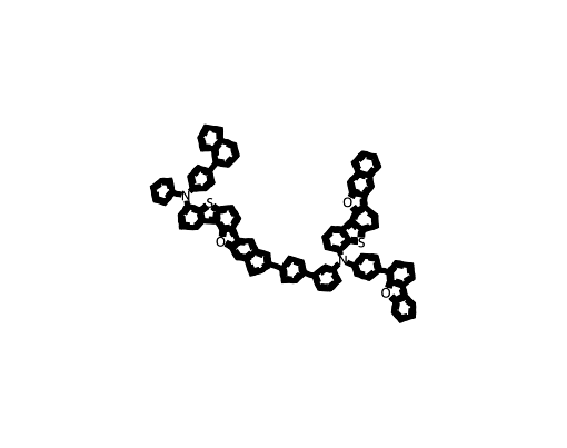 c1ccc(N(c2ccc(-c3cccc4ccccc34)cc2)c2cccc3c2sc2ccc4c5cc6cc(-c7ccc(-c8cccc(N(c9ccc(-c%10cccc%11c%10oc%10ccccc%10%11)cc9)c9cccc%10c9sc9ccc%11c%12cc%13ccccc%13cc%12oc%11c9%10)c8)cc7)ccc6cc5oc4c23)cc1